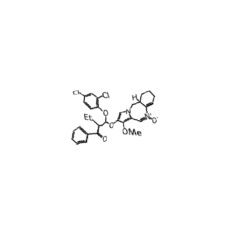 CCC(C(=O)c1ccccc1)C(Oc1ccc(Cl)cc1Cl)Oc1cn2c(c1OC)C=[N+]([O-])C1=CCCC[C@H]1C2